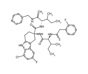 C=C(NCc1ccncc1)[C@@H](NC(=O)[C@@]1(NC(=O)[C@@H](NC(=S)Cc2ccccc2F)C(C)CC)CCc2[nH]c3c(Cl)cc(F)cc3c2C1)C(C)CC